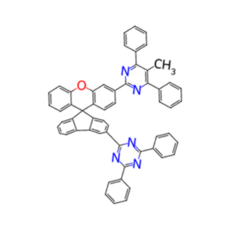 Cc1c(-c2ccccc2)nc(-c2ccc3c(c2)Oc2ccccc2C32c3ccccc3-c3cc(-c4nc(-c5ccccc5)nc(-c5ccccc5)n4)ccc32)nc1-c1ccccc1